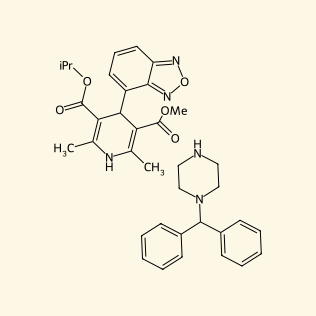 COC(=O)C1=C(C)NC(C)=C(C(=O)OC(C)C)C1c1cccc2nonc12.c1ccc(C(c2ccccc2)N2CCNCC2)cc1